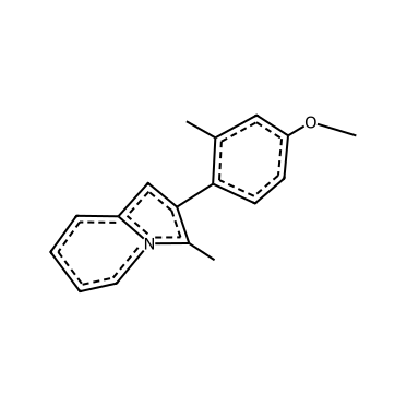 COc1ccc(-c2cc3ccccn3c2C)c(C)c1